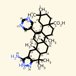 CC1(C)CCC2(C(=O)O)CCC3(C)C(=C(c4cncnc4)CC4C5(C)Cc6c(n[nH]c6N)C(C)(C)C5CCC43C)C2C1